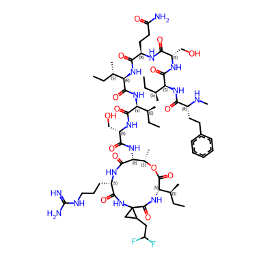 CC[C@H](C)[C@H](NC(=O)[C@@H](CCc1ccccc1)NC)C(=O)N[C@@H](CO)C(=O)N[C@H](CCC(N)=O)C(=O)N[C@@H](C(=O)N[C@H](C(=O)N[C@@H](CO)C(=O)N[C@H]1C(=O)N[C@@H](CCCNC(=N)N)C(=O)NC2(CC2CC(F)F)C(=O)N[C@@H]([C@@H](C)CC)C(=O)O[C@H]1C)[C@@H](C)CC)[C@@H](C)CC